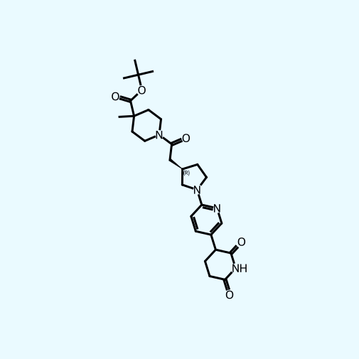 CC(C)(C)OC(=O)C1(C)CCN(C(=O)C[C@H]2CCN(c3ccc(C4CCC(=O)NC4=O)cn3)C2)CC1